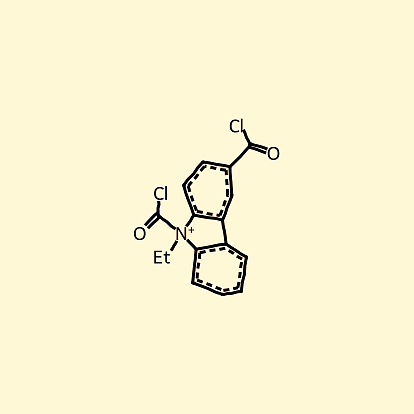 CC[N+]1(C(=O)Cl)c2ccccc2-c2cc(C(=O)Cl)ccc21